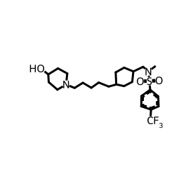 CN(CC1CCC(CCCCCN2CCC(O)CC2)CC1)S(=O)(=O)c1ccc(C(F)(F)F)cc1